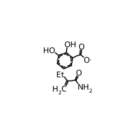 C=C(CC)C(N)=O.[O]C(=O)c1cccc(O)c1O